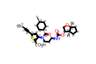 C[C@@H](CCNC(=O)O[C@H]1CO[C@H]2CCC[C@H]21)N(c1cc(C#CC(C)(C)C)sc1C(=O)O)C(=O)[C@H]1CC[C@H](C)CC1